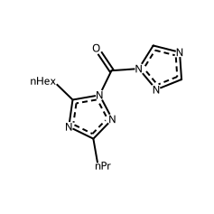 CCCCCCc1nc(CCC)nn1C(=O)n1cncn1